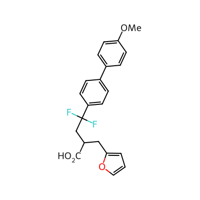 COc1ccc(-c2ccc(C(F)(F)CC(Cc3ccco3)C(=O)O)cc2)cc1